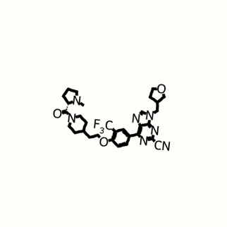 CN1CCC[C@H]1C(=O)N1CCC(CCOc2ccc(-c3nc(C#N)nc4c3ncn4CC3CCOC3)cc2C(F)(F)F)CC1